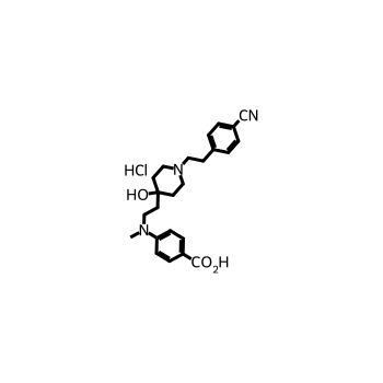 CN(CCC1(O)CCN(CCc2ccc(C#N)cc2)CC1)c1ccc(C(=O)O)cc1.Cl